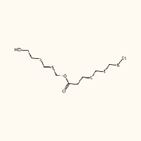 CCSCSCSCCC(=O)OCSCSCCO